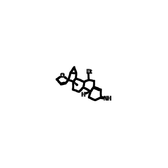 CCC1CC2=CC(=N)CC[C@@H]2C2CC[C@@]3(C)C(C4CC4[C@@]34C=CCO4)C12